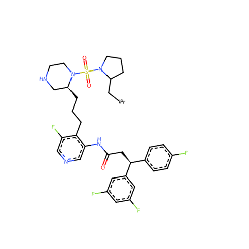 CC(C)CC1CCCN1S(=O)(=O)N1CCNC[C@@H]1CCCc1c(F)cncc1NC(=O)C[C@@H](c1ccc(F)cc1)c1cc(F)cc(F)c1